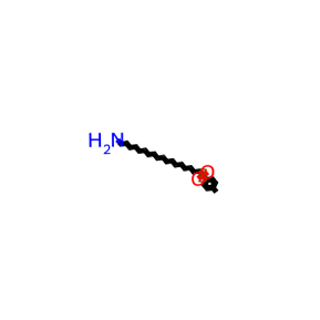 Cc1ccc(S(=O)(=O)CCCCCCCCCCCCCCCCCCN)cc1